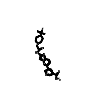 NC(=O)c1cncc(-c2ccc3nc(NC(=O)CN4CCC(C(F)(F)F)CC4)cn3n2)c1